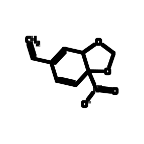 C=CC1=CC2OCOC2([N+](=O)[O-])C=C1